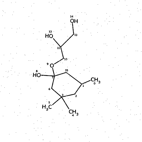 CC1CC(C)(C)CC(O)(OCC(O)CO)C1